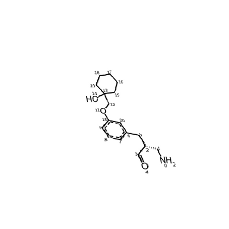 NC[C@H](C=O)Cc1cccc(OCC2(O)CCCCC2)c1